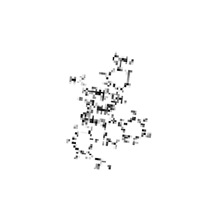 COc1ccc2nc(-c3c([P@@](=O)(c4ccccc4)c4cccc(C)c4)ccc4ccccc34)c3c(C)cc(C)n3c2c1